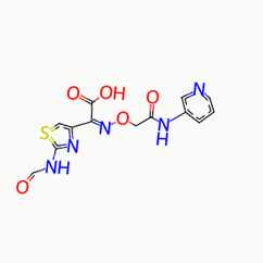 O=CNc1nc(C(=NOCC(=O)Nc2cccnc2)C(=O)O)cs1